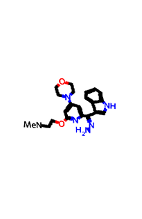 CNCCOc1cc(N2CCOCC2)cc(/C(=N\N)c2c[nH]c3ccccc23)n1